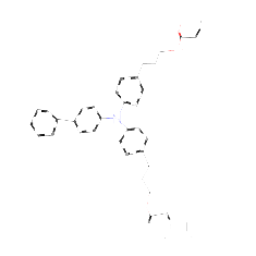 C=CC(=C)OCCCc1ccc(N(c2ccc(CCCOC(=O)C=C)cc2)c2ccc(-c3ccccc3)cc2)cc1